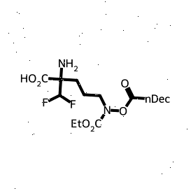 CCCCCCCCCCC(=O)ON(CCCC(N)(C(=O)O)C(F)F)C(=O)OCC